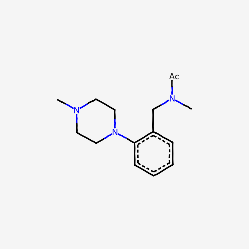 CC(=O)N(C)Cc1ccccc1N1CCN(C)CC1